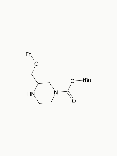 CCOCC1CN(C(=O)OC(C)(C)C)CCN1